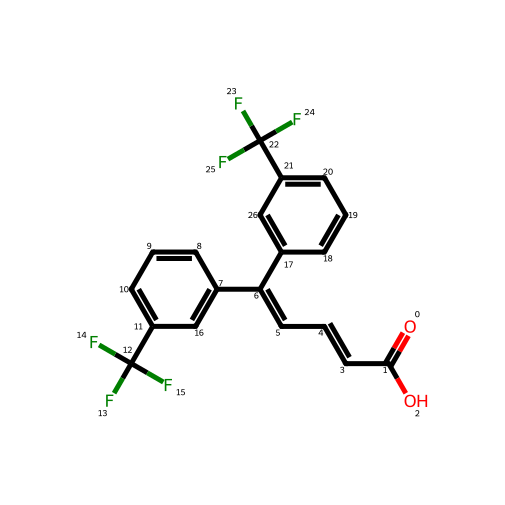 O=C(O)/C=C/C=C(c1cccc(C(F)(F)F)c1)c1cccc(C(F)(F)F)c1